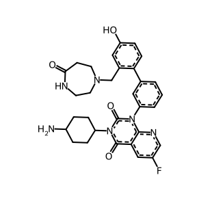 NC1CCC(n2c(=O)c3cc(F)cnc3n(-c3cccc(-c4ccc(O)cc4CN4CCNC(=O)CC4)c3)c2=O)CC1